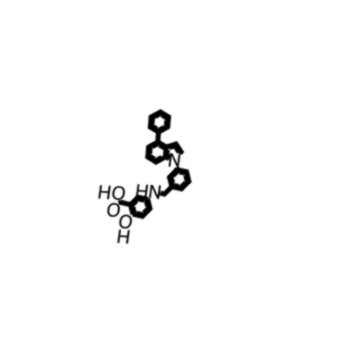 O=C(O)c1cc(NCc2cccc(-n3ccc4c(-c5ccccc5)cccc43)c2)ccc1O